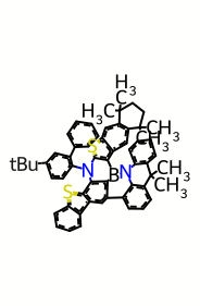 CC(C)(C)c1ccc(N2c3sc4cc5c(cc4c3B3c4c(cc6c(sc7ccccc76)c42)-c2cccc4c2N3c2ccccc2C4(C)C)C(C)(C)CCC5(C)C)c(-c2ccccc2)c1